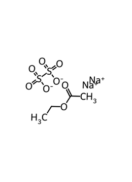 CCOC(C)=O.O=S(=O)([O-])S(=O)(=O)[O-].[Na+].[Na+]